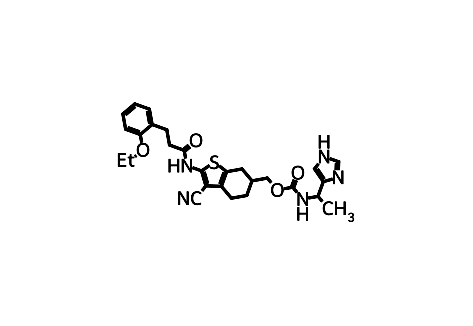 CCOc1ccccc1CCC(=O)Nc1sc2c(c1C#N)CCC(COC(=O)NC(C)c1c[nH]cn1)C2